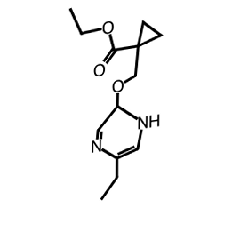 CCOC(=O)C1(COC2C=NC(CC)=CN2)CC1